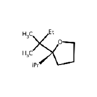 CCC(C)(C)[C@@]1(C(C)C)CCCO1